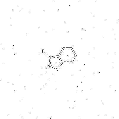 Fn1nnc2ccccc21